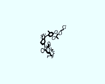 Cc1ccc(OC(C)C(=O)OCCCl)cc1-c1nsc2ccc(-n3c(=O)cc(C(F)(F)F)n(C)c3=O)cc12